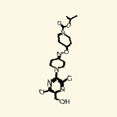 CC(C)OC(=O)N1CCC(ON=C2CCN(c3nc(Cl)c(CO)nc3Cl)CC2)CC1